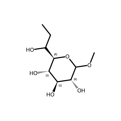 CCC(O)[C@H]1OC(OC)[C@H](O)[C@@H](O)[C@@H]1O